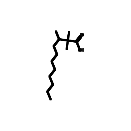 CCCCCCCCC(C)C(C)(C)C(=O)O